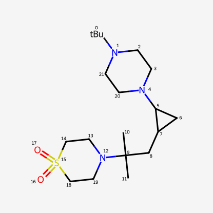 CC(C)(C)N1CCN(C2CC2CC(C)(C)N2CCS(=O)(=O)CC2)CC1